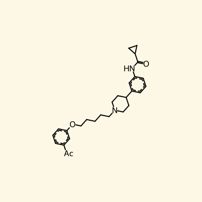 CC(=O)c1cccc(OCCCCCN2CCC(c3cccc(NC(=O)C4CC4)c3)CC2)c1